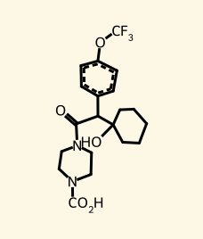 O=C(O)N1CCN(C(=O)C(c2ccc(OC(F)(F)F)cc2)C2(O)CCCCC2)CC1